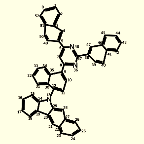 c1ccc2cc(-c3cc(-c4ccc(-n5c6ccccc6c6cc7ccccc7cc65)c5ccccc45)nc(-c4ccc5ccccc5c4)n3)ccc2c1